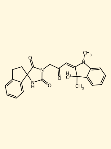 CN1/C(=C/C(=O)CN2C(=O)NC3(CCc4ccccc43)C2=O)C(C)(C)c2ccccc21